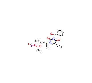 Cc1cn(C(C)CC(C)OC(C)OP=O)c(=O)n(C(=O)c2ccccc2)c1=O